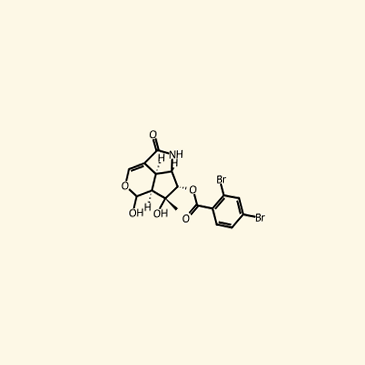 C[C@]1(O)[C@@H](OC(=O)c2ccc(Br)cc2Br)[C@H]2NC(=O)C3=COC(O)[C@H]1[C@@H]32